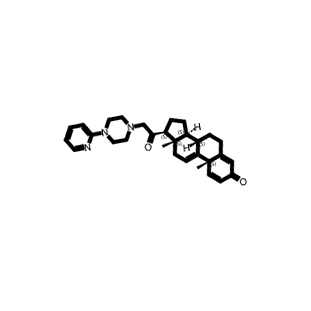 C[C@]12C=CC(=O)C=C1CC[C@@H]1C2=CC[C@]2(C)[C@@H](C(=O)CN3CCN(c4ccccn4)CC3)CC[C@@H]12